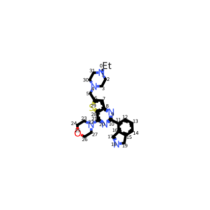 CCN1CCN(Cc2cc3nc(-c4cccc5c4C=NC5)nc(N4CCOCC4)c3s2)CC1